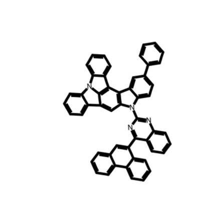 c1ccc(-c2ccc3c(c2)c2c4c5ccccc5n5c6ccccc6c(cc2n3-c2nc(-c3cc6ccccc6c6ccccc36)c3ccccc3n2)c45)cc1